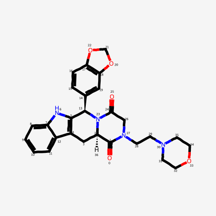 O=C1[C@H]2Cc3c([nH]c4ccccc34)[C@@H](c3ccc4c(c3)OCO4)N2C(=O)CN1CCN1CCOCC1